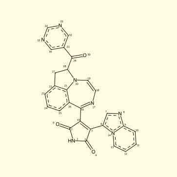 O=C1NC(=O)C(c2cnc3ccccn23)=C1C1=NC=CN2c3c(cccc31)CC2C(=O)c1cncnc1